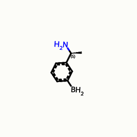 Bc1cccc([C@H](C)N)c1